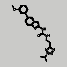 COc1cccc(-c2ccc3nc(NC(=O)NCCc4nnn(C(C)C)n4)cn3c2)c1